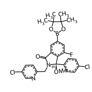 CO[C@]1(c2ccc(Cl)cc2)c2c(F)cc(B3OC(C)(C)C(C)(C)O3)cc2C(=O)N1Cc1ccc(Cl)cn1